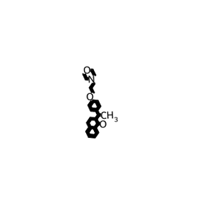 CC(c1ccc(OCCCN2CCOCC2)cc1)C1CCc2ccccc2C1=O